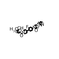 CC1(C)OC[C@@H](C(=O)N2CC=C(c3ccc(N4C[C@H](Cn5ccnn5)OC4=O)cc3F)CC2)O1